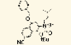 CC(C)=CC[N+](Br)(C(=O)OC(C)(C)C)c1cc(OCc2ccccc2)c2ccc(C#N)cc2c1